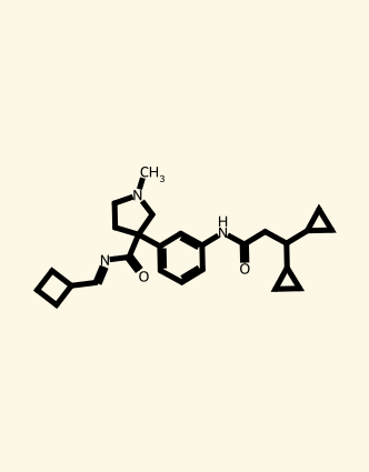 CN1CCC(C(=O)/N=C/C2CCC2)(c2cccc(NC(=O)CC(C3CC3)C3CC3)c2)C1